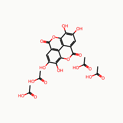 CC(=O)O.CC(=O)O.CC(=O)O.CC(=O)O.O=c1oc2c(O)c(O)cc3c(=O)oc4c(O)c(O)cc1c4c23